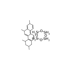 CC1C=CC2=c3ccc4c(c3=CC(C)C2=C1)C(C)CC(C)C4.O1[SiH2]O[SiH2]O[SiH2]O[SiH2]1